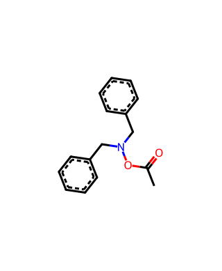 CC(=O)ON(Cc1ccccc1)Cc1ccccc1